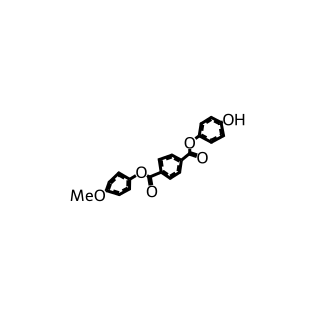 COc1ccc(OC(=O)c2ccc(C(=O)Oc3ccc(O)cc3)cc2)cc1